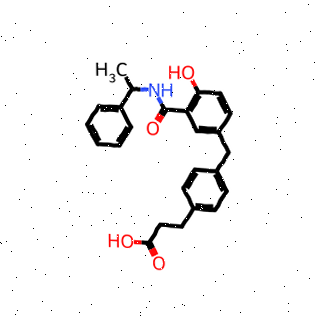 CC(NC(=O)c1cc(Cc2ccc(CCC(=O)O)cc2)ccc1O)c1ccccc1